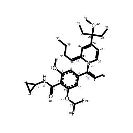 C/C=C(/c1cc(OC)c(C(=O)NC2CC2)c(OC(F)F)c1)N1C=CC(C(CC)(CC)OC)=C/C1=C\CCC